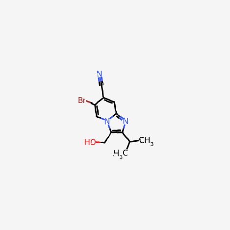 CC(C)c1nc2cc(C#N)c(Br)cn2c1CO